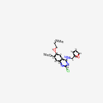 CNCCOc1cc2c(NCc3ccco3)nc(Cl)nc2cc1OC